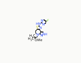 COC(C)(C)CN1CCc2sc(Nc3ncc(F)cn3)nc2-c2c[nH]nc21